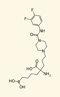 NC(CCCCB(O)O)(CCCN1CCN(C(=O)Nc2ccc(F)c(F)c2)CC1)C(=O)O